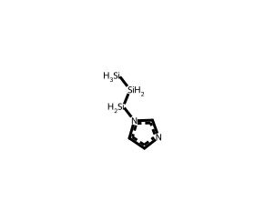 [SiH3][SiH2][SiH2]n1ccnc1